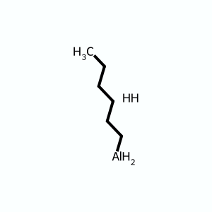 CCCCC[CH2][AlH2].[HH]